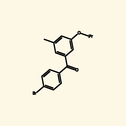 Cc1cc(OC(C)C)cc(C(=O)c2ccc(Br)cc2)c1